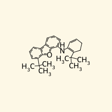 CC(C)(C)C1=C(Nc2cccc3c2oc2c(C(C)(C)C)cccc23)C=CCC1